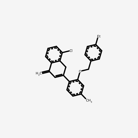 C=C1C=C(c2ccc(C)cc2OCc2ccc(CC)cc2)Cc2c(Cl)cccc21